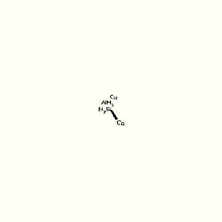 [AlH3].[Cu].[SiH3][Co]